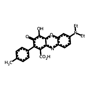 CCN(CC)c1ccc2nc3c(C(=O)O)c(-c4ccc(C)cc4)c(=O)c(O)c-3oc2c1